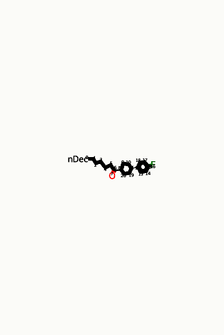 CCCCCCCCCCCCCCCC(=O)[C@H]1CC[C@H](c2ccc(F)cc2)CC1